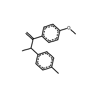 C=C(c1ccc(OC)cc1)C(C)c1ccc(C)cc1